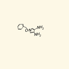 Nc1cn(OCc2ccccc2)cc1N